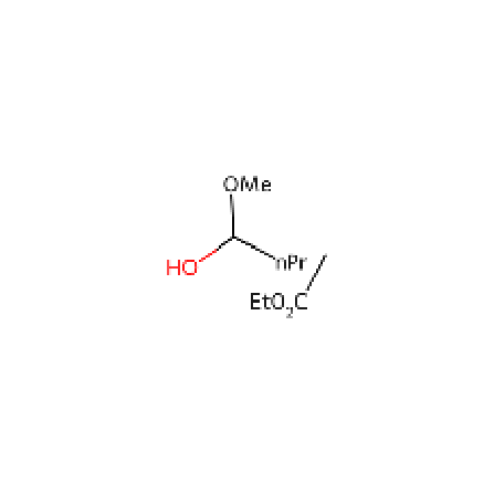 CCCC(O)OC.CCOC(C)=O